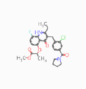 CCc1[nH]c2c(F)ccc(OC(C)C(=O)OC)c2c(=O)c1Cc1ccc(C(=O)N2CCCC2)cc1Cl